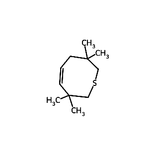 CC1(C)/C=C\CC(C)(C)CSC1